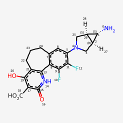 N[C@@H]1[C@H]2CN(c3cc4c(c(F)c3F)-c3[nH]c(=O)c(C(=O)O)c(O)c3CCC4)C[C@@H]12